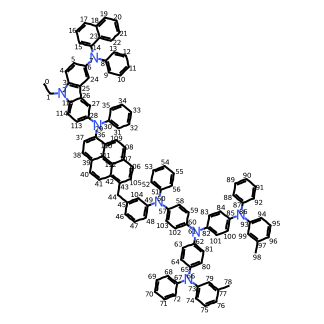 CCn1c2ccc(N(c3ccccc3)c3cccc4ccccc34)cc2c2cc(N(c3ccccc3)c3ccc4ccc5c(Cc6cccc(N(c7ccccc7)c7ccc(N(c8ccc(N(c9ccccc9)c9cccc(C)c9)cc8)c8ccc(N(c9ccccc9)c9cccc(C)c9)cc8)cc7)c6)ccc6ccc3c4c65)ccc21